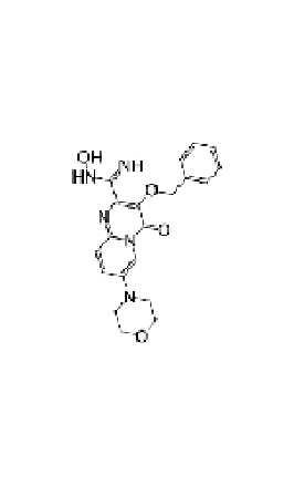 N=C(NO)c1nc2ccc(N3CCOCC3)cn2c(=O)c1OCc1ccccc1